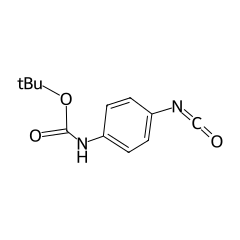 CC(C)(C)OC(=O)Nc1ccc(N=C=O)cc1